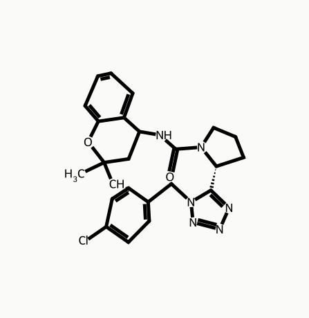 CC1(C)CC(NC(=O)N2CCC[C@@H]2c2nnnn2Cc2ccc(Cl)cc2)c2ccccc2O1